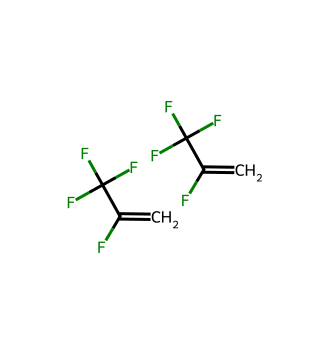 C=C(F)C(F)(F)F.C=C(F)C(F)(F)F